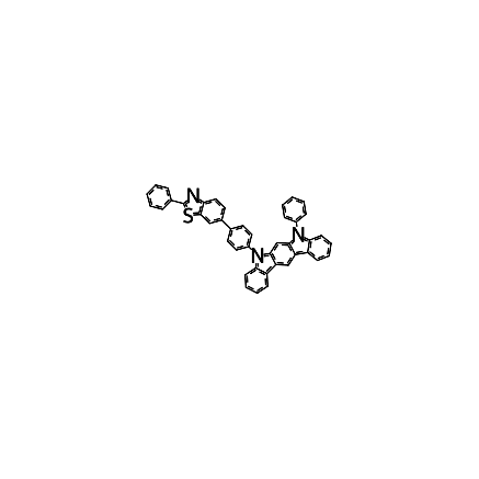 c1ccc(-c2nc3ccc(-c4ccc(-n5c6ccccc6c6cc7c8ccccc8n(-c8ccccc8)c7cc65)cc4)cc3s2)cc1